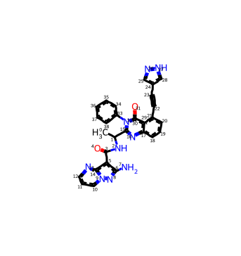 CC(NC(=O)c1c(N)nn2cccnc12)c1nc2cccc(C#Cc3cn[nH]c3)c2c(=O)n1-c1ccccc1